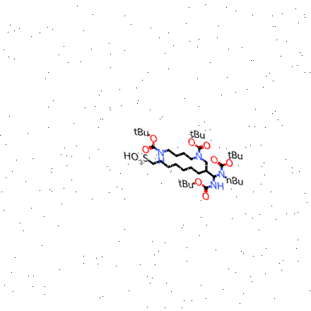 CCCCN(C(=O)OC(C)(C)C)C(NC(=O)OC(C)(C)C)C(CCCCCCCS(=O)(=O)O)CN(CCCCNC(=O)OC(C)(C)C)C(=O)OC(C)(C)C